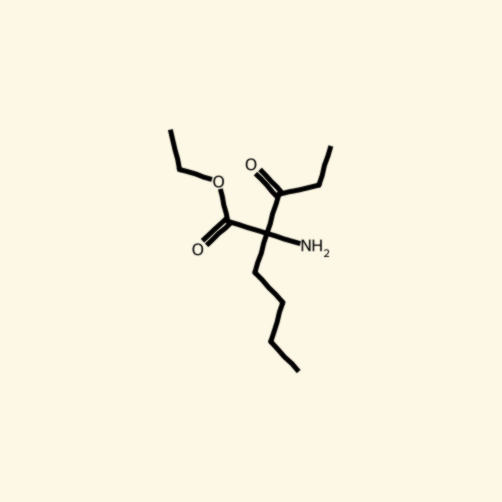 CCCCC(N)(C(=O)CC)C(=O)OCC